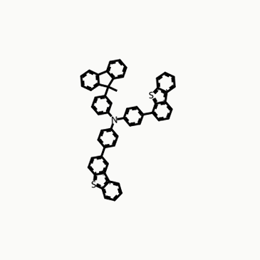 CC1(c2cccc(N(c3ccc(-c4ccc5sc6ccccc6c5c4)cc3)c3ccc(-c4cccc5c4sc4ccccc45)cc3)c2)c2ccccc2-c2ccccc21